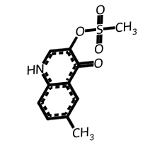 Cc1ccc2[nH]cc(OS(C)(=O)=O)c(=O)c2c1